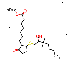 CCCCCCCCCCOC(=O)CCCCCCC1C(=O)CCC1SCC(O)C(C)(C)CCCC(F)(F)F